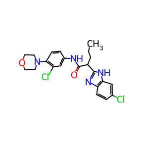 CCCC(C(=O)Nc1ccc(N2CCOCC2)c(Cl)c1)c1nc2ccc(Cl)cc2[nH]1